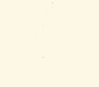 Cc1cc(-c2[nH]c3cc(-c4ccc(N5CCN(C(=O)C67CC(CN6)C7)CC5)nc4)c(F)cc3c2C)cc(C)n1